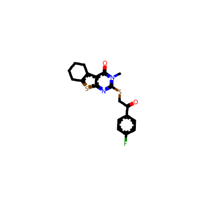 Cn1c(SCC(=O)c2ccc(F)cc2)nc2sc3c(c2c1=O)CCCC3